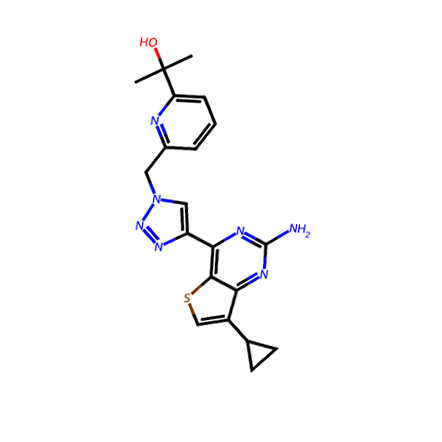 CC(C)(O)c1cccc(Cn2cc(-c3nc(N)nc4c(C5CC5)csc34)nn2)n1